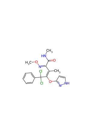 CNC(=O)C(=NOC)C(C)=C(Oc1cc[nH]n1)C(Cl)(Cl)c1ccccc1